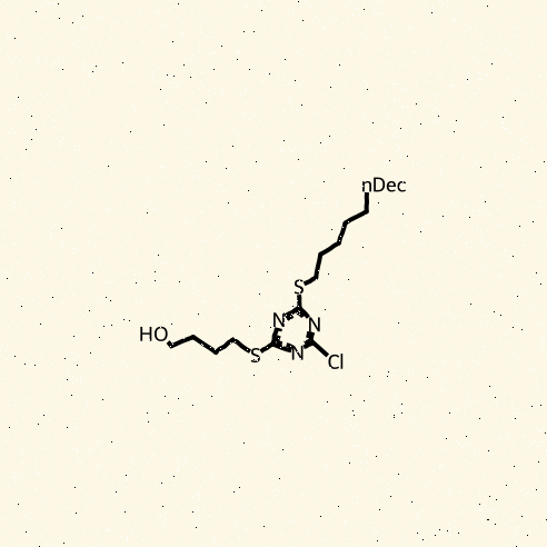 CCCCCCCCCCCCCCCSc1nc(Cl)nc(SCCCCO)n1